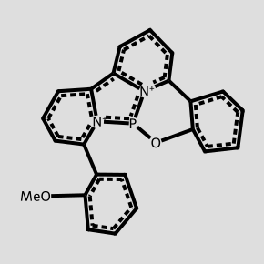 COc1ccccc1-c1cccc2c3cccc4[n+]3p([n+]12)Oc1ccccc1-4